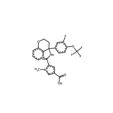 Cn1cc(C(=O)O)cc1C(=O)NC1(c2ccc(OC(F)(F)F)c(F)c2)CCOc2cccnc21